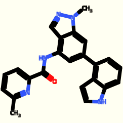 Cc1cccc(C(=O)Nc2cc(-c3cccc4[nH]ccc34)cc3c2cnn3C)n1